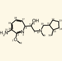 COC1=NC(C(O)CN(C)CC2CCCC2C)C=CC=C1N